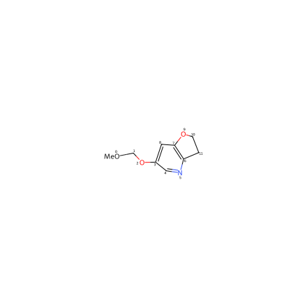 COCOc1cnc2c(c1)OCC2